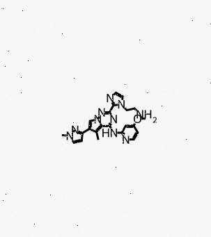 COc1ccnc(Nc2nc(-c3nccn3CCN)nn3cc(-c4ccn(C)n4)c(C)c23)c1